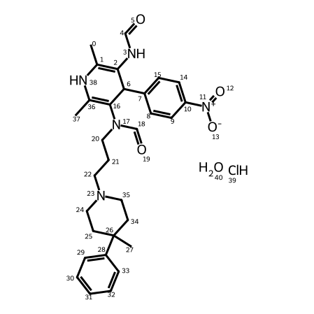 CC1=C(NC=O)C(c2ccc([N+](=O)[O-])cc2)C(N(C=O)CCCN2CCC(C)(c3ccccc3)CC2)=C(C)N1.Cl.O